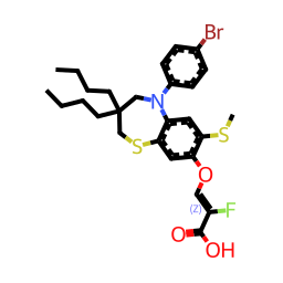 CCCCC1(CCCC)CSc2cc(O/C=C(\F)C(=O)O)c(SC)cc2N(c2ccc(Br)cc2)C1